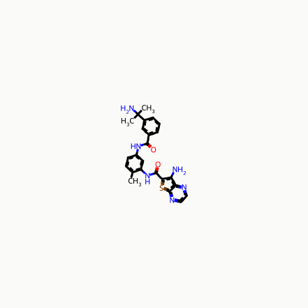 Cc1ccc(NC(=O)c2cccc(C(C)(C)N)c2)cc1NC(=O)c1sc2nccnc2c1N